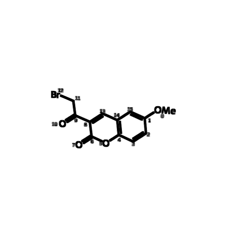 COc1ccc2oc(=O)c(C(=O)CBr)cc2c1